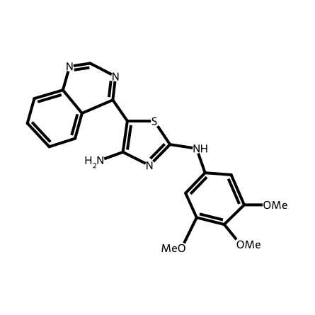 COc1cc(Nc2nc(N)c(-c3ncnc4ccccc34)s2)cc(OC)c1OC